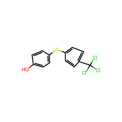 Oc1ccc(Sc2ccc(C(Cl)(Cl)Cl)cc2)cc1